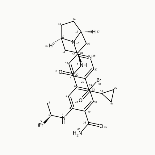 CC(C)[C@@H](C)Nc1cc(C(=O)N[C@H]2C[C@H]3CC[C@@H](C2)N3c2ccc(C(=O)C3CC3)cn2)c(Br)cc1C(N)=O